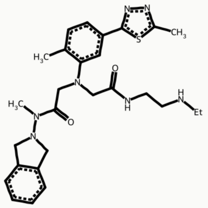 CCNCCNC(=O)CN(CC(=O)N(C)N1Cc2ccccc2C1)c1cc(-c2nnc(C)s2)ccc1C